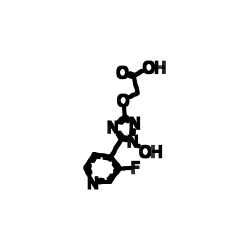 O=C(O)COc1nc(-c2ccncc2F)n(O)n1